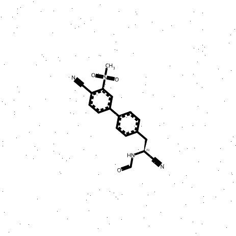 CS(=O)(=O)c1cc(-c2ccc(C[C@@H](C#N)NC=O)cc2)ccc1C#N